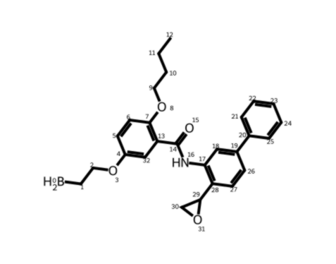 BCCOc1ccc(OCCCC)c(C(=O)Nc2cc(-c3ccccc3)ccc2C2CO2)c1